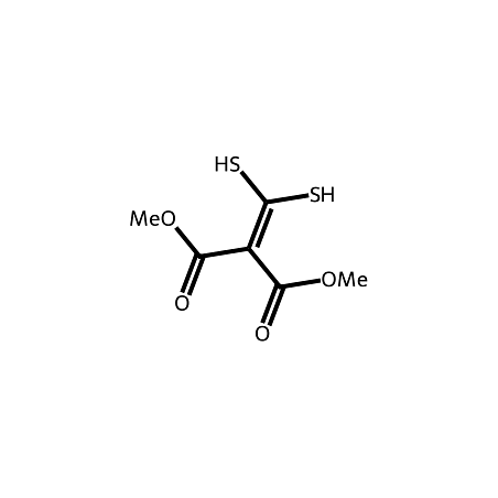 COC(=O)C(C(=O)OC)=C(S)S